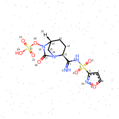 N=C(NS(=O)(=O)c1ccon1)[C@@H]1CC[C@@H]2CN1C(=O)N2OS(=O)(=O)O